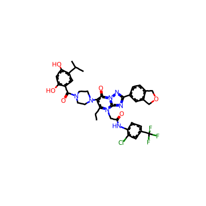 CCc1c(N2CCN(C(=O)c3cc(C(C)C)c(O)cc3O)CC2)c(=O)n2nc(-c3ccc4c(c3)COC4)nc2n1CC(=O)Nc1ccc(C(F)(F)F)cc1Cl